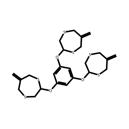 C=C1CSCC(Oc2cc(OC3CSCC(=C)CS3)cc(OC3CSCC(=C)CS3)c2)SC1